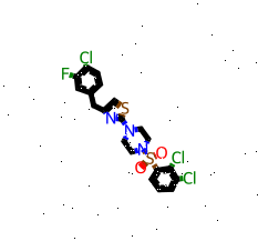 O=S(=O)(c1cccc(Cl)c1Cl)N1CCN(c2nc(Cc3ccc(Cl)c(F)c3)cs2)CC1